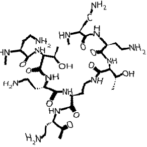 CN[C@@H](CCN)C(=O)N[C@@H](CCN)C(=O)N[C@H](C(=O)NCC[C@H](NC(=O)[C@H](CCN)NC(=O)[C@@H](NC(=O)[C@H](CCN)NC)[C@@H](C)O)C(=O)N[C@@H](CCN)C(C)=O)[C@@H](C)O